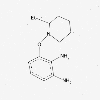 CCC1CCCCN1Oc1cccc(N)c1N